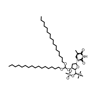 CCCCCCCCCCCCCCCCOC(OCCCCCCCCCCCCCCCC)O[C@H]1C[C@H](n2cc(C)c(=O)[nH]c2=O)O[C@H]1C(OS(C)(=O)=O)[N+](C)(C)C